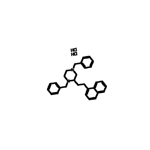 Cl.Cl.c1ccc(CN2CCN(Cc3ccccc3)C(CCc3cccc4ccccc34)C2)cc1